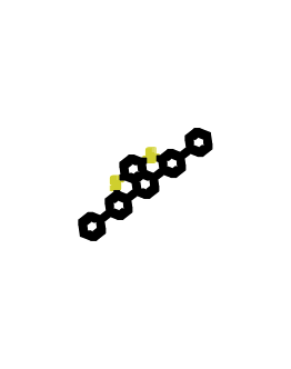 c1ccc(-c2ccc3c(c2)Sc2ccc4c5c(ccc-3c25)-c2ccc(-c3ccccc3)cc2S4)cc1